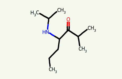 CCCC(NC(C)C)C(=O)C(C)C